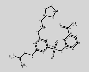 CC(C)COc1cc(CNCC2CCNC2)cc(S(=O)(=O)Cc2cccc(C(N)=O)c2)c1